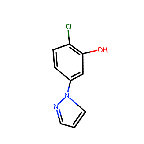 Oc1cc(-n2cccn2)ccc1Cl